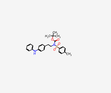 Cc1ccc(S(=O)(=O)N(CCc2ccc(Nc3ccccc3)cc2)C(=O)OC(C)(C)C)cc1